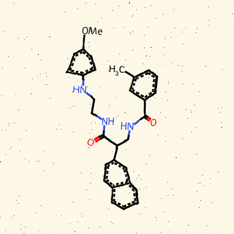 COc1ccc(NCCNC(=O)C(CNC(=O)c2cccc(C)c2)c2ccc3ccccc3c2)cc1